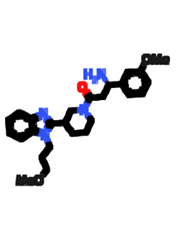 COCCCn1c(C2CCCN(C(=O)C[C@H](N)c3cccc(OC)c3)C2)nc2ccccc21